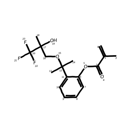 C=C(C)C(=O)Oc1ccccc1C(C)(C)OCC(C)(O)C(F)(F)F